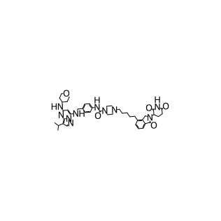 CC(C)c1cnn2c(NCc3ccc(NC(=O)N4CCN(CCCCCc5cccc6c5CN(C5CCC(=O)NC5=O)C6=O)CC4)cc3)cc(NC3CCOCC3)nc12